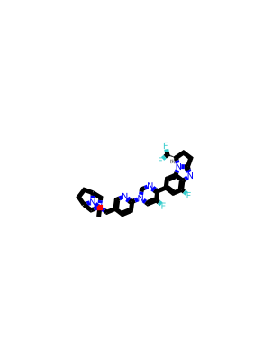 CCN1C2CCC1CN(Cc1ccc(N3C=C(F)C(c4cc(F)c5nc6n(c5c4)[C@H](C(F)F)CC6)=NC3)nc1)C2